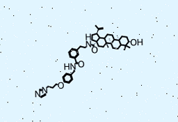 C=C(C)[C@@H]1CC[C@]2(C(=O)NCCc3cccc(C(=O)NCc4ccc(OCCCn5ccnc5)cc4)c3)CC[C@]3(C)C(CCC4[C@@]5(C)CC[C@H](O)C(C)(C)C5CC[C@]43C)C12